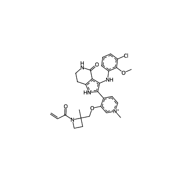 C=CC(=O)N1CCC1(C)COc1c[n+](C)ccc1-c1[nH]c2c(c1Nc1cccc(Cl)c1OC)C(=O)NCC2